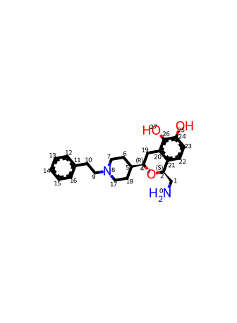 NC[C@H]1O[C@@H](C2CCN(CCc3ccccc3)CC2)Cc2c1ccc(O)c2O